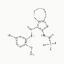 COc1ccc(Cl)cc1NC(=O)c1c(NC(=O)C(F)(F)F)sc2c1CCCCC2